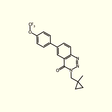 CC1(Cn2nnc3ccc(-c4ccc(OC(F)(F)F)cc4)cc3c2=O)CC1